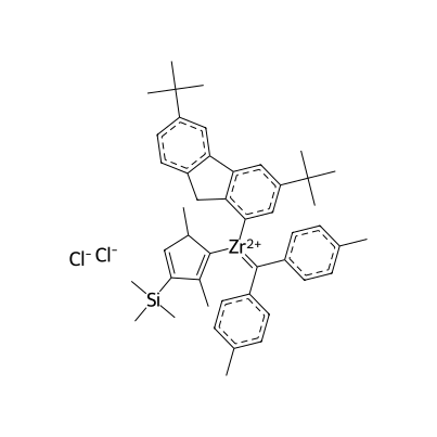 CC1=[C]([Zr+2](=[C](c2ccc(C)cc2)c2ccc(C)cc2)[c]2cc(C(C)(C)C)cc3c2Cc2ccc(C(C)(C)C)cc2-3)C(C)C=C1[Si](C)(C)C.[Cl-].[Cl-]